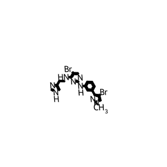 Cn1cc(Br)c(-c2cccc(Nc3ncc(Br)c(NCCc4c[nH]cn4)n3)c2)n1